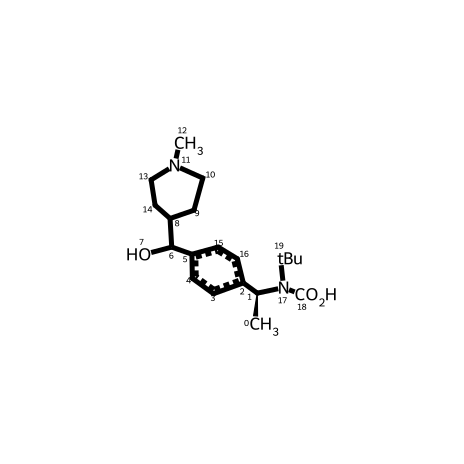 C[C@@H](c1ccc(C(O)C2CCN(C)CC2)cc1)N(C(=O)O)C(C)(C)C